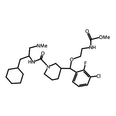 CNCC(CC1CCCCC1)NC(=O)N1CCCC(C(OCCNC(=O)OC)c2cccc(Cl)c2F)C1